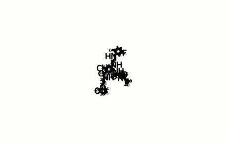 Cc1ccc(F)cc1NCCNc1cc(Cl)c(C(=O)NCCCN2CCCC2=O)cc1NC(=O)c1coc(C2CC2)n1